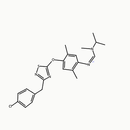 Cc1cc(Oc2nc(Cc3ccc(Cl)cc3)ns2)c(C)cc1/N=C\N(C)C(C)C